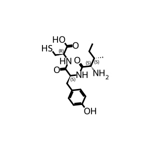 CC[C@H](C)[C@H](N)C(=O)N[C@@H](Cc1ccc(O)cc1)C(=O)N[C@@H](CS)C(=O)O